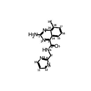 Nc1nc(C(=O)NCc2ncccn2)c2cccc(I)c2n1